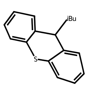 CCC(C)C1c2ccccc2Sc2ccccc21